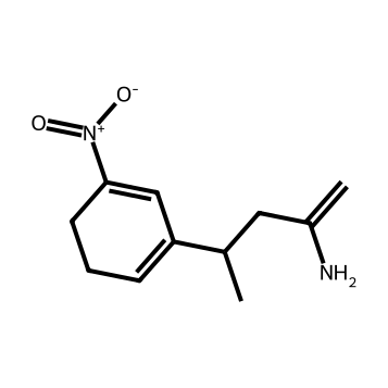 C=C(N)CC(C)C1=CCCC([N+](=O)[O-])=C1